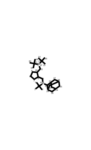 CC(C)(C)P(CC1CCCC1CP(C(C)(C)C)C(C)(C)C)C1C2CC3CC(C2)CC1C3